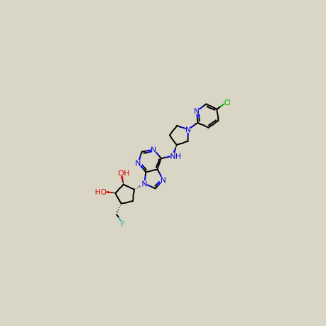 O[C@@H]1[C@@H](CF)C[C@@H](n2cnc3c(N[C@H]4CCN(c5ccc(Cl)cn5)C4)ncnc32)[C@@H]1O